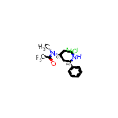 CN(C(=O)C(F)(F)F)[C@@H]1CCN[C@H](c2ccccc2)C1.Cl